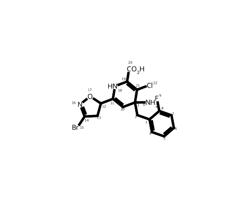 NC1(Cc2ccccc2F)C=C(C2CC(Br)=NO2)NC(C(=O)O)=C1Cl